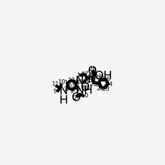 CC(=O)N[C@@H]1C[C@H](NC(C)(C)C)CC[C@@H]1N1CCC(N(Cc2ccccc2)C(=O)O)C1=O